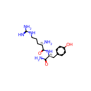 N=C(N)NCCC[C@H](N)C(=O)N[C@@H](Cc1ccc(O)cc1)C(N)=O